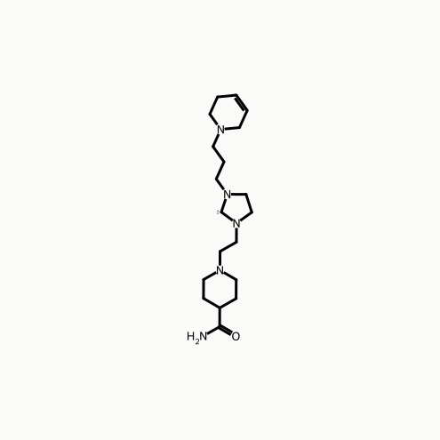 NC(=O)C1CCN(CCN2[C]N(CCCN3CC=CCC3)CC2)CC1